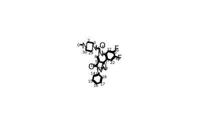 CN1CCN(C(=O)n2cc3c(=O)n(-c4ccccc4)nc-3c3cc(F)c(F)cc32)CC1